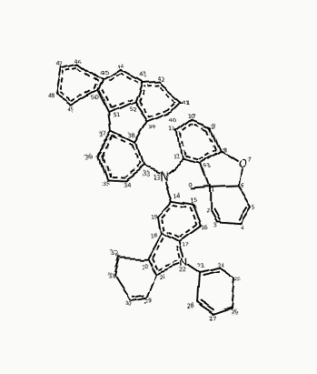 CC12C=CC=CC1Oc1cccc(N(c3ccc4c(c3)c3c(n4C4=CCCC=C4)C=CCC3)c3cccc4c3-c3cccc5cc6ccccc6c-4c35)c12